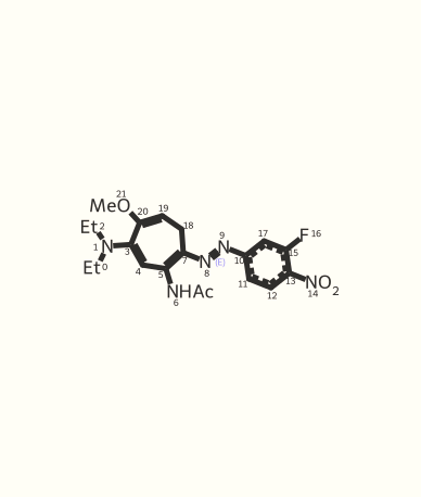 CCN(CC)C1=CC(NC(C)=O)=C(/N=N/c2ccc([N+](=O)[O-])c(F)c2)CC=C1OC